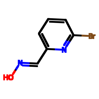 O/N=C/c1cccc(Br)n1